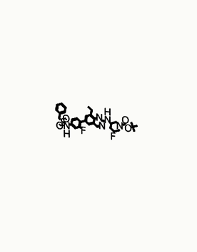 CCc1cc(-c2ccc(NS(=O)(=O)Cc3ccccc3)cc2F)cc2cnc(N[C@H]3C[C@H](F)CN(C(=O)OC(C)(C)C)C3)nc12